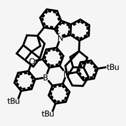 CC(C)(C)c1ccc(N2c3ccc(C(C)(C)C)cc3B3c4cc(C(C)(C)C)ccc4Oc4cc(-n5c6c(C78CC9CCCC(C7)C9C8)cccc6c6cccc(C78CC9CC%10CC(C7)C%109C8)c65)cc2c43)cc1